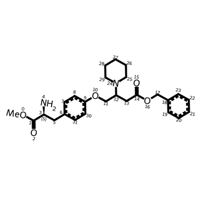 COC(=O)[C@@H](N)Cc1ccc(OCC(CC(=O)OCc2ccccc2)N2CCCCC2)cc1